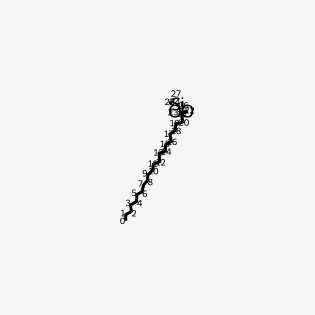 CCCCCCCCCCCCCCCCCCCCCC(=O)O[Si](C)(C)C